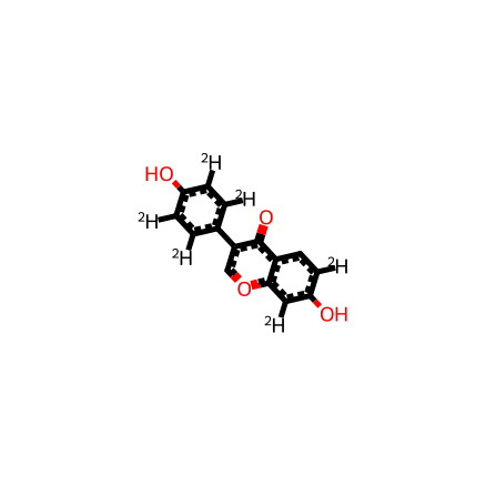 [2H]c1cc2c(=O)c(-c3c([2H])c([2H])c(O)c([2H])c3[2H])coc2c([2H])c1O